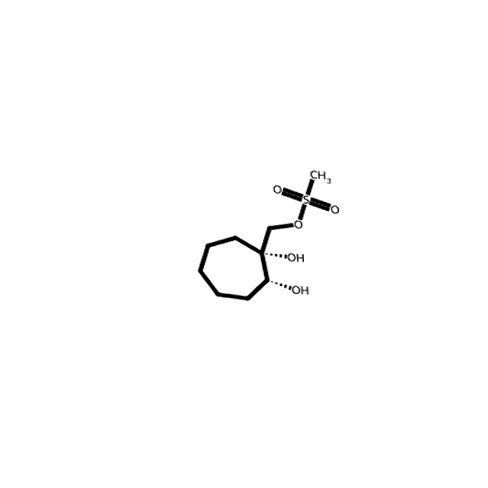 CS(=O)(=O)OC[C@]1(O)CCCCC[C@H]1O